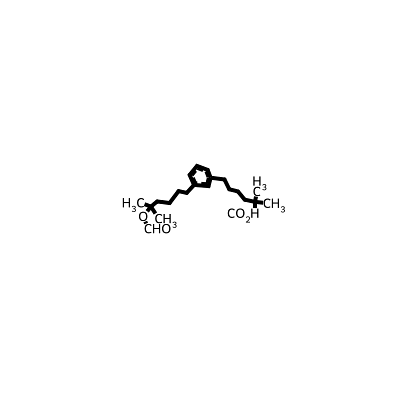 CC(C)(CCCCc1cccc(CCCCC(C)(C)C(=O)O)c1)OC=O